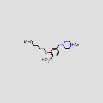 COCCCCOc1cc(CN2CCN(C(C)=O)CC2)ccc1C(=O)O